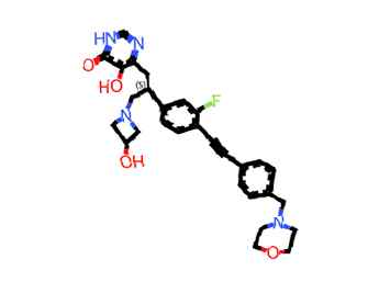 O=c1[nH]cnc(C[C@H](CN2CC(O)C2)c2ccc(C#Cc3ccc(CN4CCOCC4)cc3)c(F)c2)c1O